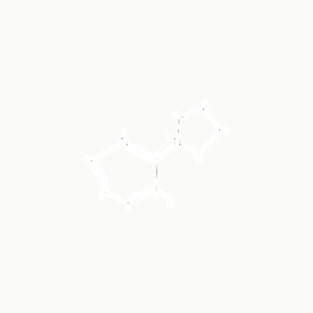 Cc1cccnc1N1[CH]CCC1